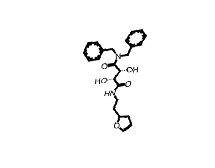 O=C(NCCC1CC=CO1)[C@H](O)[C@@H](O)C(=O)N(Cc1ccccc1)Cc1ccccc1